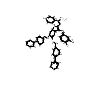 O=C(O)/C(=C/c1sc2cc(OCc3ccc(-c4ccccc4)cc3)c(OCc3ccc(-c4ccccc4)cc3)cc2c1Oc1ccc(Cl)c(Cl)c1)c1ccncc1